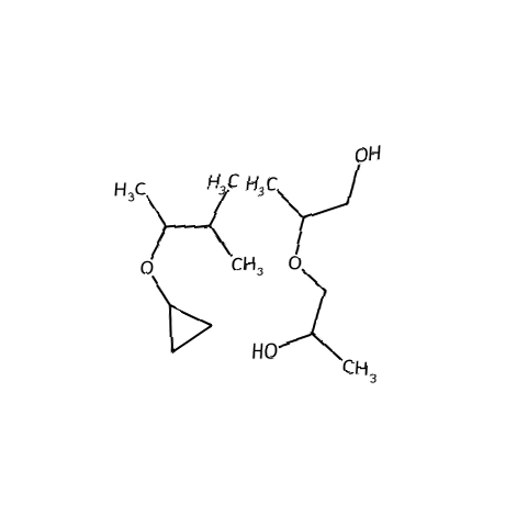 CC(C)C(C)OC1CC1.CC(O)COC(C)CO